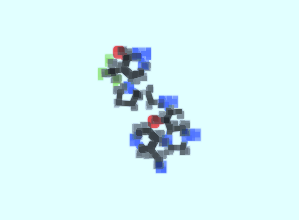 CC(NCC[C@@H]1CCCN1c1cn[nH]c(=O)c1C(F)(F)F)C(=O)C1CNCCN1c1ccncc1C#N